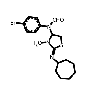 CN1C(=NC2CCCCCC2)SCC1N(C=O)c1ccc(Br)cc1